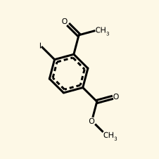 COC(=O)c1ccc(I)c(C(C)=O)c1